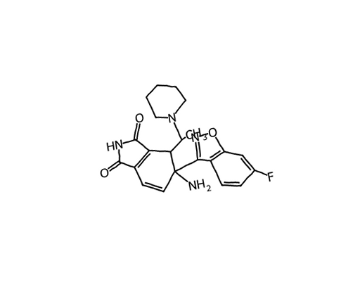 CC(C1C2=C(C=CC1(N)c1noc3cc(F)ccc13)C(=O)NC2=O)N1CCCCC1